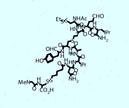 CCSSCC(NC(C)=O)C(=O)N[C@H](CCSCC(NC(=O)C(C)NC(=O)C(NC(=O)C(CC(N)=O)NC(=O)CCCCSSCC(NC(=O)CNC)C(=O)O)C(C)C)C(=O)NC(C=O)Cc1ccc(O)cc1)C(=O)NC(CCC=O)C(=O)N[C@@H](CC(C)C)C(N)=O